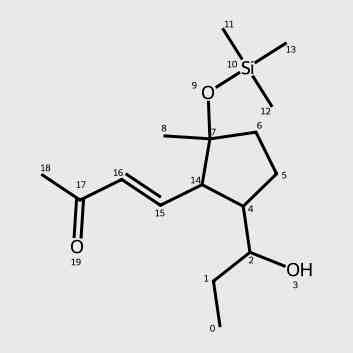 CCC(O)C1CCC(C)(O[Si](C)(C)C)C1C=CC(C)=O